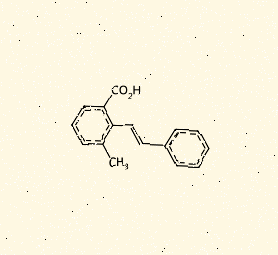 Cc1cccc(C(=O)O)c1C=Cc1ccccc1